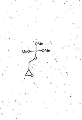 CO[Si](OC)(OC)OCC1CO1